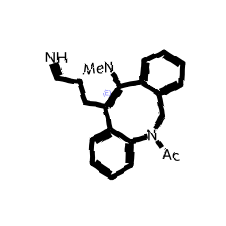 CN/C1=C(\CCC=N)c2ccccc2N(C(C)=O)Cc2ccccc21